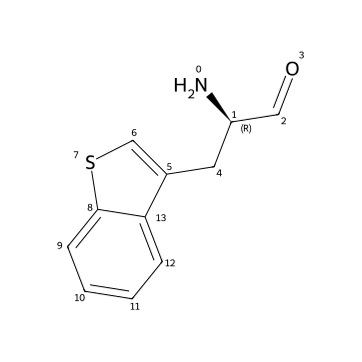 N[C@@H](C=O)Cc1csc2ccccc12